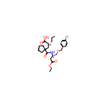 CCC[C@H](CC1(C(=O)N[C@@H](COCc2ccc(Cl)cc2)CC(=O)OCC)CCCC1)C(=O)O